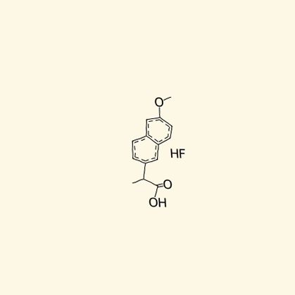 COc1ccc2cc(C(C)C(=O)O)ccc2c1.F